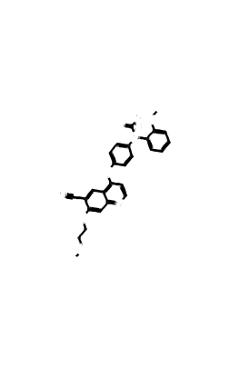 COCCOc1cc2nccc(Oc3ccc(N(C(N)=O)c4ccccc4SC)cc3)c2cc1C#N